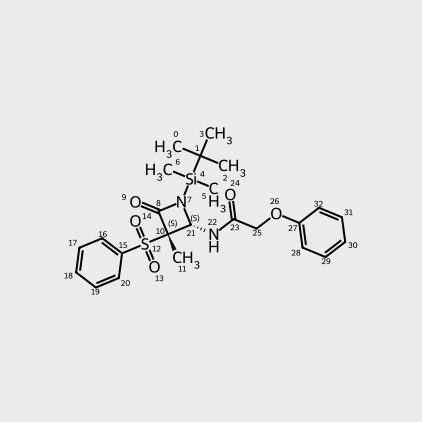 CC(C)(C)[Si](C)(C)N1C(=O)[C@@](C)(S(=O)(=O)c2ccccc2)[C@H]1NC(=O)COc1ccccc1